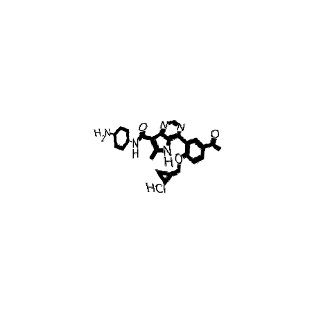 CC(=O)c1ccc(OCC2CC2)c(-c2ncnc3c(C(=O)N[C@H]4CC[C@H](N)CC4)c(C)[nH]c23)c1.Cl